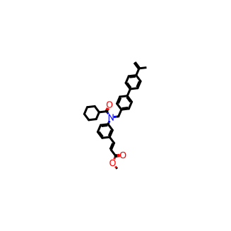 C=C(C)c1ccc(-c2ccc(CN(C(=O)C3CCCCC3)c3cccc(/C=C/C(=O)OC)c3)cc2)cc1